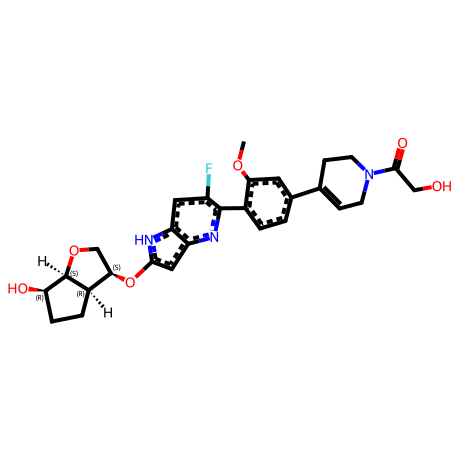 COc1cc(C2=CCN(C(=O)CO)CC2)ccc1-c1nc2cc(O[C@@H]3CO[C@H]4[C@@H]3CC[C@H]4O)[nH]c2cc1F